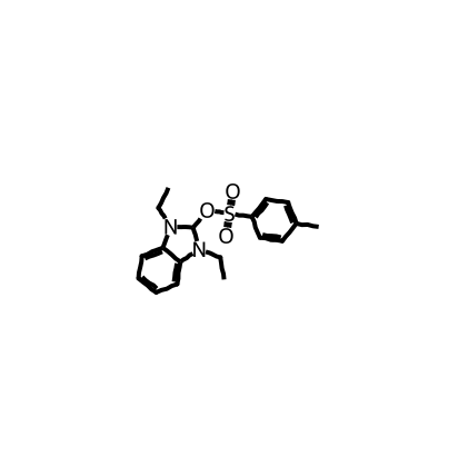 CCN1c2ccccc2N(CC)C1OS(=O)(=O)c1ccc(C)cc1